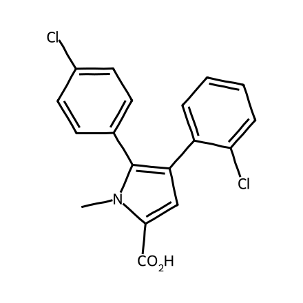 Cn1c(C(=O)O)cc(-c2ccccc2Cl)c1-c1ccc(Cl)cc1